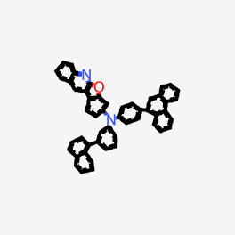 c1cc(-c2cccc3ccccc23)cc(N(c2ccc(-c3cc4ccccc4c4ccccc34)cc2)c2ccc3c(c2)oc2nc4ccccc4cc23)c1